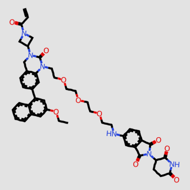 C=CC(=O)N1CC(N2Cc3ccc(-c4cc(OCC)cc5ccccc45)cc3N(CCOCCOCCOCCNc3ccc4c(c3)C(=O)N(C3CCC(=O)NC3=O)C4=O)C2=O)C1